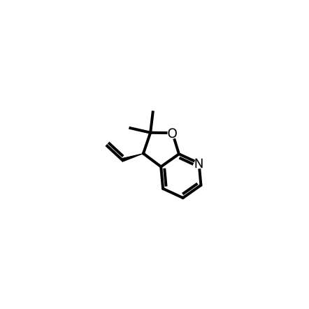 C=C[C@@H]1c2cccnc2OC1(C)C